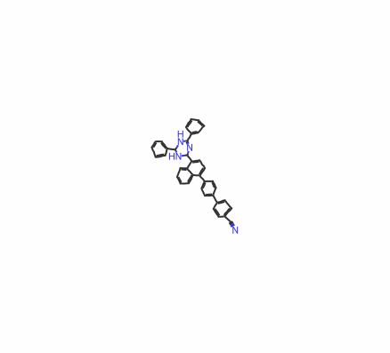 N#Cc1ccc(-c2ccc(-c3ccc(C4N=C(c5ccccc5)NC(c5ccccc5)N4)c4ccccc34)cc2)cc1